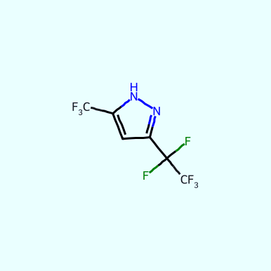 FC(F)(F)c1cc(C(F)(F)C(F)(F)F)n[nH]1